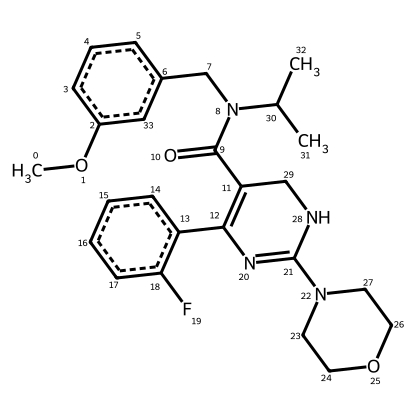 COc1cccc(CN(C(=O)C2=C(c3ccccc3F)N=C(N3CCOCC3)NC2)C(C)C)c1